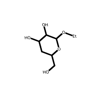 CCOC1OC(CO)CC(O)C1O